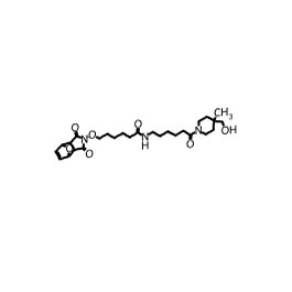 CC1(CO)CCN(C(=O)CCCCCNC(=O)CCCCCON2C(=O)C3C4C=CC(O4)C3C2=O)CC1